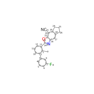 Cc1c(-c2cccc(F)c2)cccc1-c1nc2cc3c(c(C#N)c2o1)CCC3